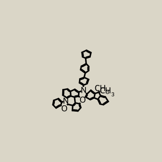 CC1(C)c2ccccc2-c2ccc(N(c3ccc(-c4ccc(-c5ccccc5)cc4)cc3)c3cc4ccccc4c4c3oc3cccc(-c5nc6ccccc6o5)c34)cc21